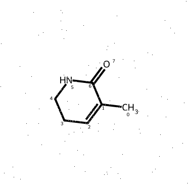 CC1=CCCNC1=O